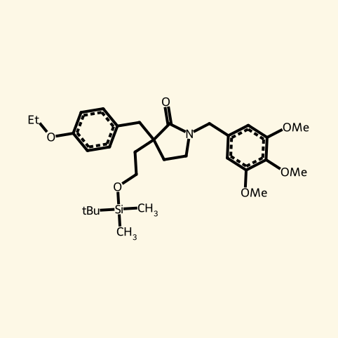 CCOc1ccc(CC2(CCO[Si](C)(C)C(C)(C)C)CCN(Cc3cc(OC)c(OC)c(OC)c3)C2=O)cc1